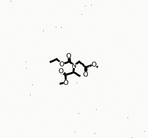 CCOC(=O)N(CC(=O)OC)C(C)C(=O)OC